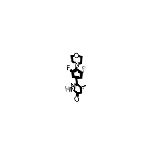 C[C@H]1CC(=O)NN=C1c1cc(F)c(N2CCOCC2)c(F)c1